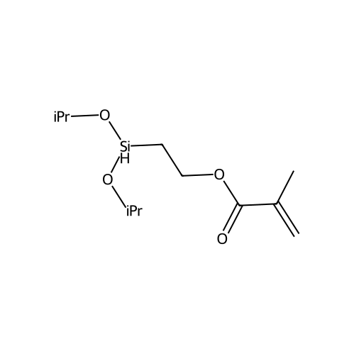 C=C(C)C(=O)OCC[SiH](OC(C)C)OC(C)C